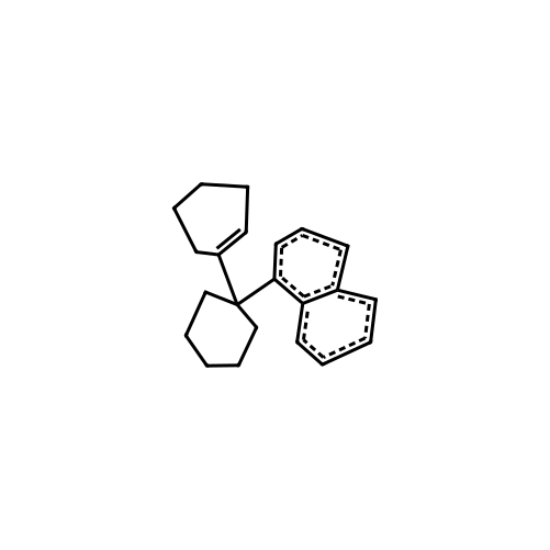 C1=C(C2(c3cccc4ccccc34)CCCCC2)CCCC1